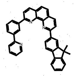 CC1(C)c2ccccc2-c2ccc(-c3ccc4ccc5ccc(-c6cccc(-c7ccccn7)c6)nc5c4n3)cc21